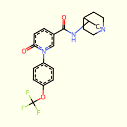 O=C(NC1CN2CCC1CC2)c1ccc(=O)n(-c2ccc(OC(F)(F)F)cc2)c1